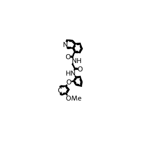 COc1cccc(Oc2ccccc2NC(=O)CNC(=O)c2cccc3ccncc23)c1